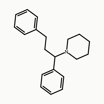 c1ccc(CCC(c2ccccc2)N2CCCCC2)cc1